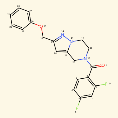 O=C(c1ccc(F)cc1F)N1CCn2nc(COc3ccccc3)cc2C1